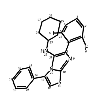 Fc1cccc(I)c1-c1nc2scc(-c3ccccc3)n2c1NC1CCCCC1